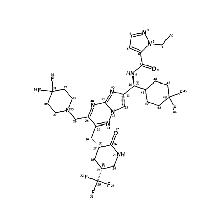 CCn1nccc1C(=O)N[C@H](c1cn2nc(C[C@H]3C[C@@H](C(F)(F)F)CNC3=O)c(CN3CCC(F)(F)CC3)nc2n1)C1CCC(F)(F)CC1